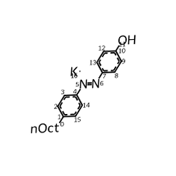 CCCCCCCCc1ccc(N=Nc2ccc(O)cc2)cc1.[K]